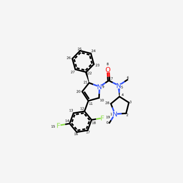 CN1CC[C@H](N(C)C(=O)N2CC(c3cc(F)ccc3F)=C[C@H]2c2ccccc2)C1